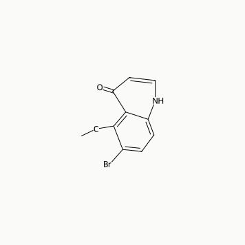 CCc1c(Br)ccc2[nH]ccc(=O)c12